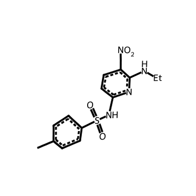 CCNc1nc(NS(=O)(=O)c2ccc(C)cc2)ccc1[N+](=O)[O-]